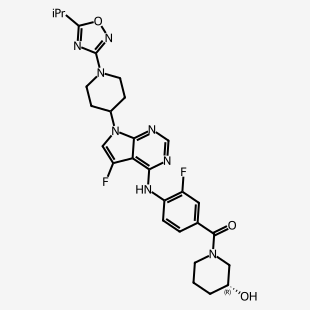 CC(C)c1nc(N2CCC(n3cc(F)c4c(Nc5ccc(C(=O)N6CCC[C@@H](O)C6)cc5F)ncnc43)CC2)no1